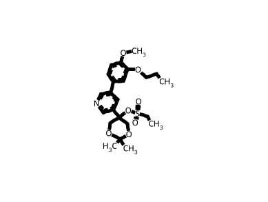 CCCOc1cc(-c2cncc(C3(OS(=O)(=O)CC)COC(C)(C)OC3)c2)ccc1OC